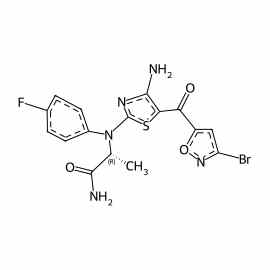 C[C@H](C(N)=O)N(c1ccc(F)cc1)c1nc(N)c(C(=O)c2cc(Br)no2)s1